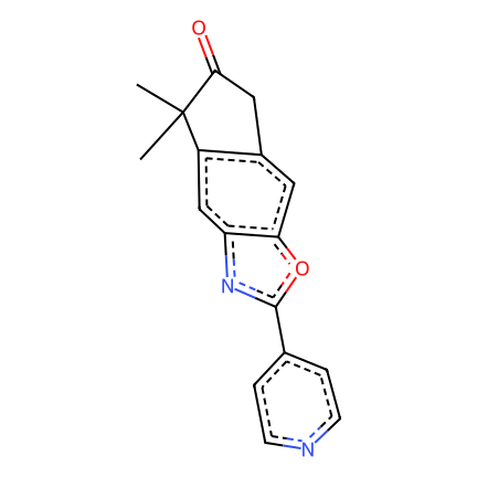 CC1(C)C(=O)Cc2cc3oc(-c4ccncc4)nc3cc21